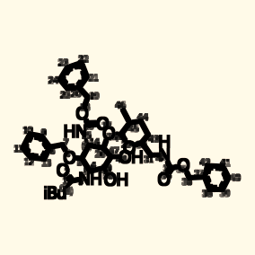 CC[C@H](C)C(=O)N[C@@H]1C(OCc2ccccc2)[C@H](NC(=O)OCc2ccccc2)C(O[C@H]2OC(CNC(=O)OCc3ccccc3)CCC2C)C(O)[C@H]1O